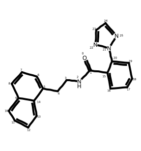 O=C(NCCc1cccc2ccccc12)c1ccccc1-n1nccn1